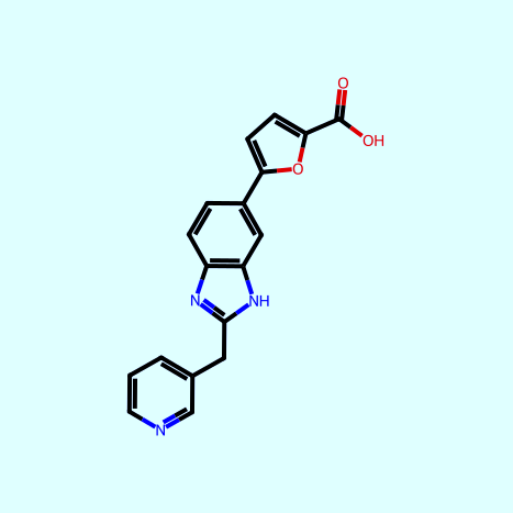 O=C(O)c1ccc(-c2ccc3nc(Cc4cccnc4)[nH]c3c2)o1